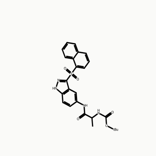 CC(NC(=O)OC(C)(C)C)C(=O)Nc1ccc2[nH]nc(S(=O)(=O)c3cccc4ccccc34)c2c1